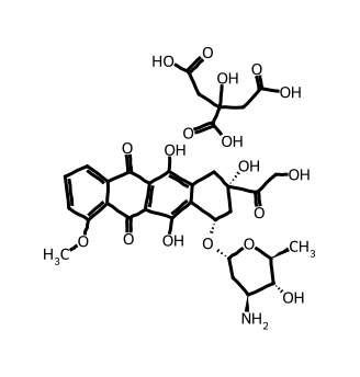 COc1cccc2c1C(=O)c1c(O)c3c(c(O)c1C2=O)C[C@@](O)(C(=O)CO)C[C@@H]3O[C@H]1C[C@H](N)[C@@H](O)[C@H](C)O1.O=C(O)CC(O)(CC(=O)O)C(=O)O